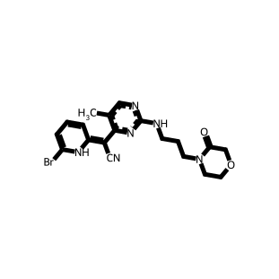 Cc1cnc(NCCCN2CCOCC2=O)nc1C(C#N)=C1C=CC=C(Br)N1